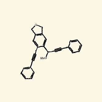 COC(C#Cc1ccccc1)c1cc2c(cc1C#Cc1ccccc1)COC2